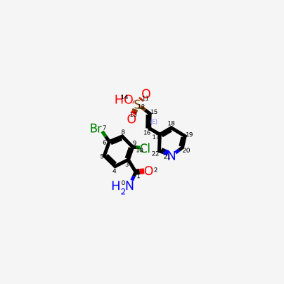 NC(=O)c1ccc(Br)cc1Cl.O=S(=O)(O)/C=C/c1cccnc1